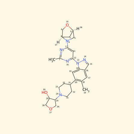 Cc1nc(N2C[C@H]3C[C@@H]2CO3)cc(-n2ncc3cc(C)c(C4CCN(C5COCC5O)CC4)cc32)n1